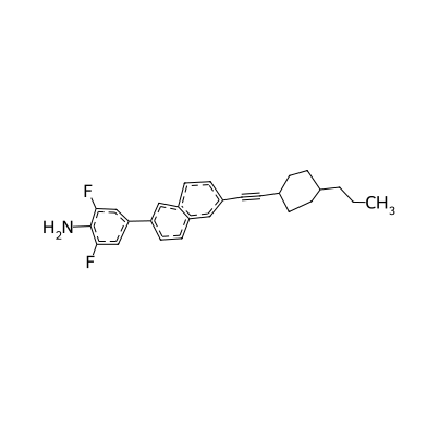 CCCC1CCC(C#Cc2ccc3cc(-c4cc(F)c(N)c(F)c4)ccc3c2)CC1